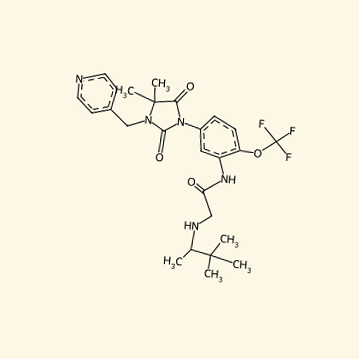 CC(NCC(=O)Nc1cc(N2C(=O)N(Cc3ccncc3)C(C)(C)C2=O)ccc1OC(F)(F)F)C(C)(C)C